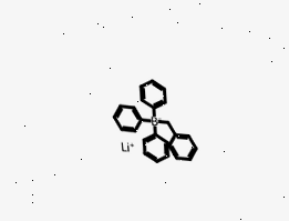 [Li+].c1ccc(C[B-](c2ccccc2)(c2ccccc2)c2ccccc2)cc1